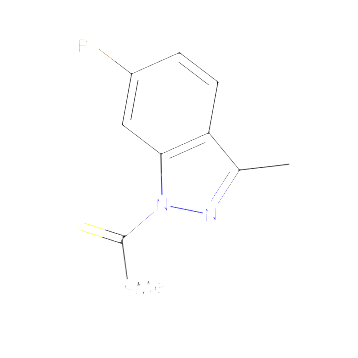 CSC(=S)n1nc(C)c2ccc(Br)cc21